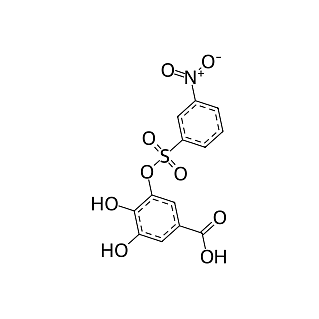 O=C(O)c1cc(O)c(O)c(OS(=O)(=O)c2cccc([N+](=O)[O-])c2)c1